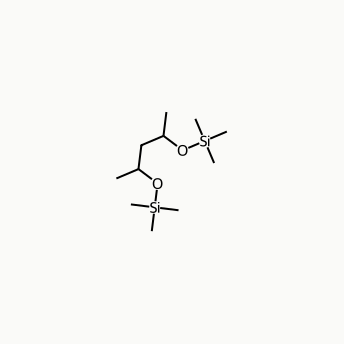 CC(CC(C)O[Si](C)(C)C)O[Si](C)(C)C